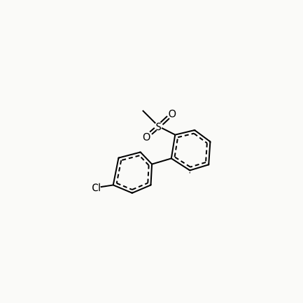 CS(=O)(=O)c1ccc[c]c1-c1ccc(Cl)cc1